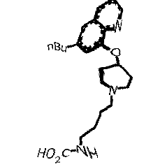 CCCCc1cc(OC2CCN(CCCCNC(=O)O)CC2)c2ncccc2c1